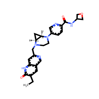 CCc1cc2cnc(CN3CCN(c4ccc(C(=O)NC5COC5)nc4)[C@@H]4C[C@@H]43)cc2[nH]c1=O